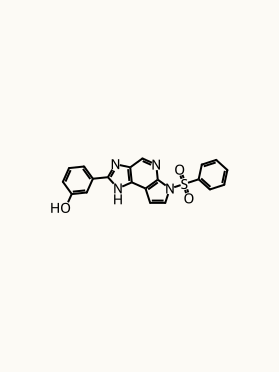 O=S(=O)(c1ccccc1)n1ccc2c3[nH]c(-c4cccc(O)c4)nc3cnc21